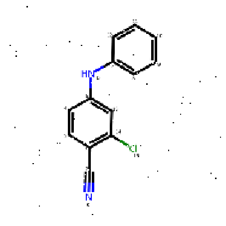 N#Cc1ccc(Nc2ccccc2)cc1Cl